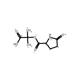 CC(C)(OC(=O)C1CCC(=O)N1)C(=O)O